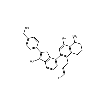 CCC=CCc1c(-c2nccc3c(C)c(-c4ccc(CC(C)(C)C)cc4)sc23)cc(C(C)(C)C)c2c1CCCC2C